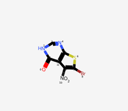 O=c1[nH]cnc2sc(Br)c([N+](=O)[O-])c12